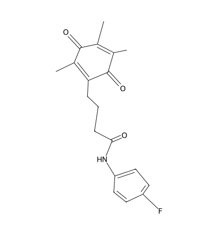 CC1=C(C)C(=O)C(CCCC(=O)Nc2ccc(F)cc2)=C(C)C1=O